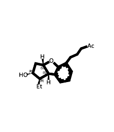 CC[C@@H]1[C@H]2c3cccc(CCCC(C)=O)c3O[C@H]2C[C@H]1O